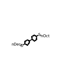 CCCCCCCCCCOc1ccc(-c2ccc(SCCCCCCCC)cc2)cc1